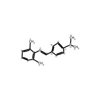 Cc1cccc(C)c1N=Cc1ccc(N(C)C)cc1